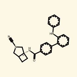 N#CN1CC2CC[C@]2(NC(=O)c2ccc(-c3ccccc3Nc3ccccc3)cc2)C1